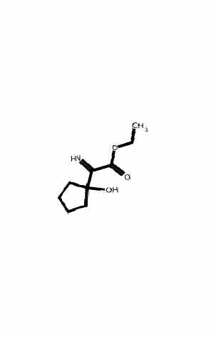 CCOC(=O)C(=N)C1(O)CCCC1